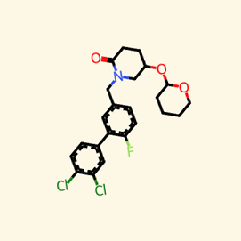 O=C1CCC(OC2CCCCO2)CN1Cc1ccc(F)c(-c2ccc(Cl)c(Cl)c2)c1